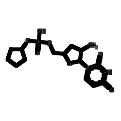 CC1CC(COP(=O)(O)OC2CCCC2)OC1n1ccc(=O)[nH]c1=O